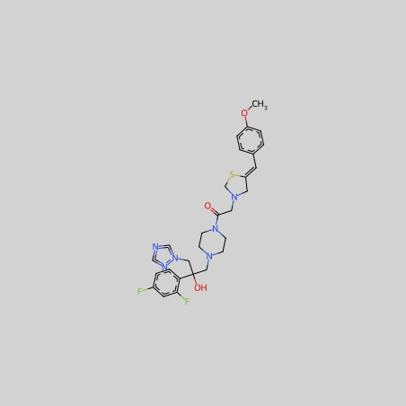 COc1ccc(C=C2CN(CC(=O)N3CCN(CC(O)(Cn4cncn4)c4ccc(F)cc4F)CC3)CS2)cc1